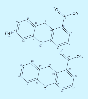 O=C([O-])c1cccc2c1Cc1ccccc1O2.O=C([O-])c1cccc2c1Cc1ccccc1O2.[Te+2]